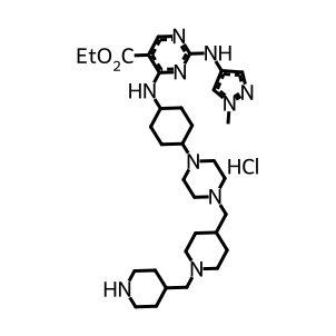 CCOC(=O)c1cnc(Nc2cnn(C)c2)nc1NC1CCC(N2CCN(CC3CCN(CC4CCNCC4)CC3)CC2)CC1.Cl